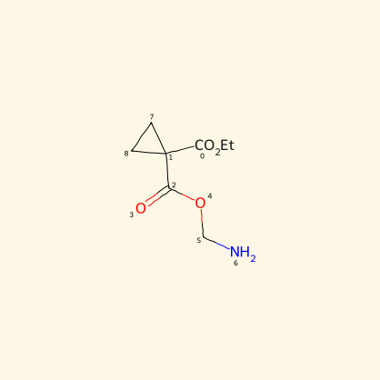 CCOC(=O)C1(C(=O)OCN)CC1